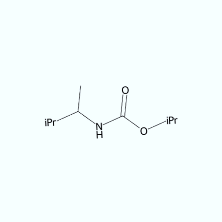 CC(C)OC(=O)NC(C)C(C)C